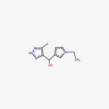 CCn1ccc(C(O)c2n[nH]nc2I)c1